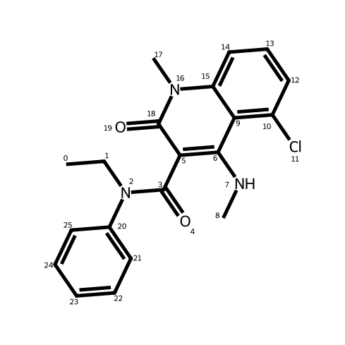 CCN(C(=O)c1c(NC)c2c(Cl)cccc2n(C)c1=O)c1ccccc1